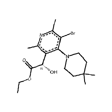 CCOC(=O)[C@@H](O)c1c(C)nc(C)c(Br)c1N1CCC(C)(C)CC1